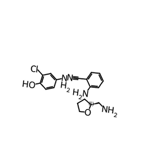 N#Cc1ccccc1N.NC[C@@H]1CCCO1.Nc1ccc(O)c(Cl)c1